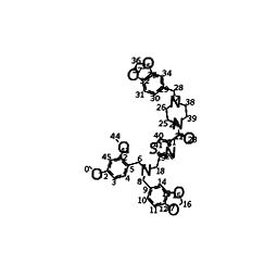 COc1ccc(CN(Cc2ccc3c(c2)OCO3)Cc2nc(C(=O)N3CCN(Cc4ccc5c(c4)OCO5)CC3)cs2)c(OC)c1